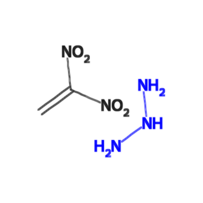 C=C([N+](=O)[O-])[N+](=O)[O-].NNN